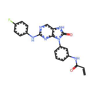 C=CC(=O)Nc1cccc(-n2c(=O)[nH]c3cnc(Nc4ccc(F)cc4)nc32)c1